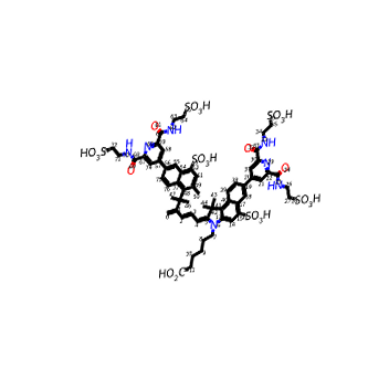 C=C(/C=C/C=C1/N(CCCCCC(=O)O)c2cc(S(=O)(=O)O)c3cc(-c4cc(C(=O)NCCS(=O)(=O)O)nc(C(=O)NCCS(=O)(=O)O)c4)ccc3c2C1(C)C)C(C)(C)c1c(C)cc(S(=O)(=O)O)c2cc(-c3cc(C(=O)NCCS(=O)(=O)O)nc(C(=O)NCCS(=O)(=O)O)c3)ccc12